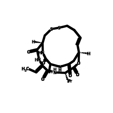 C/C=C1\NC(=O)[C@H]2CSSCC/C=C/[C@H](CC(=O)NC(C(C)C)C(=O)N2)OC(=O)[C@H](C(C)C)NC1=O